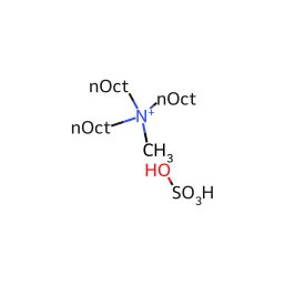 CCCCCCCC[N+](C)(CCCCCCCC)CCCCCCCC.O=S(=O)(O)O